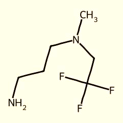 CN(CCCN)CC(F)(F)F